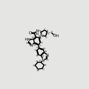 NC(=O)c1c(N2CC[C@H](CO)C2)cc(-c2ccc3c(c2)ncn3C2CCCCC2)c2nc[nH]c12